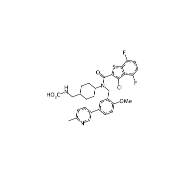 COc1ccc(-c2ccc(C)nc2)cc1CN(C(=O)c1sc2c(F)ccc(F)c2c1Cl)C1CCC(CNC(=O)O)CC1